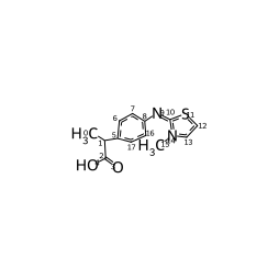 CC(C(=O)O)c1ccc(N=c2sccn2C)cc1